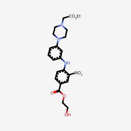 CCOC(=O)CN1CCN(c2cccc(Nc3ccc(C(=O)OCCO)cc3[N+](=O)[O-])c2)CC1